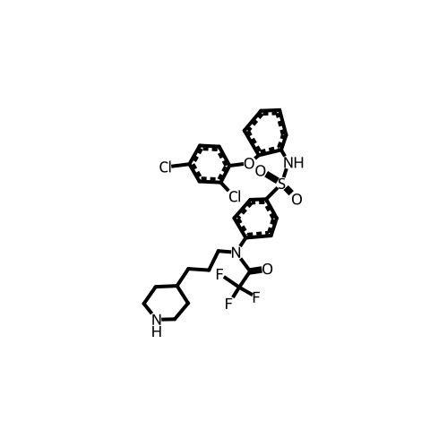 O=C(N(CCCC1CCNCC1)c1ccc(S(=O)(=O)Nc2ccccc2Oc2ccc(Cl)cc2Cl)cc1)C(F)(F)F